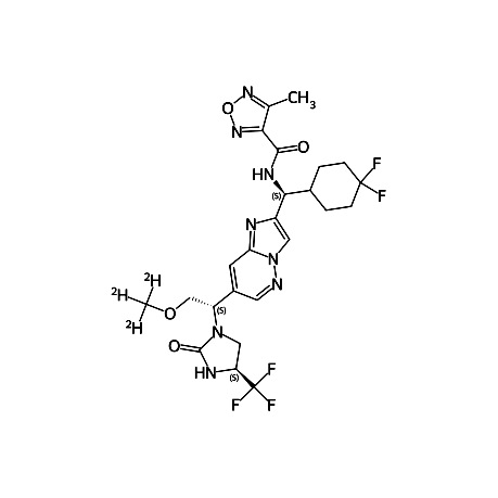 [2H]C([2H])([2H])OC[C@H](c1cnn2cc([C@@H](NC(=O)c3nonc3C)C3CCC(F)(F)CC3)nc2c1)N1C[C@@H](C(F)(F)F)NC1=O